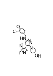 CCn1ncc2c3c(N4CCC(O)CC4)nnc(NCc4ccc(OC)c(Cl)c4)c3cnc21